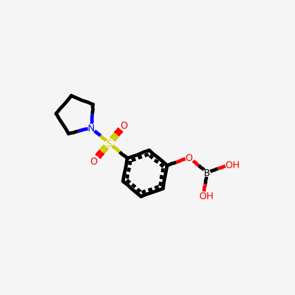 O=S(=O)(c1cccc(OB(O)O)c1)N1CCCC1